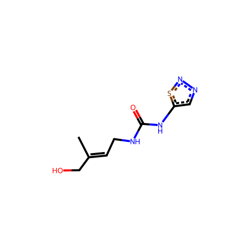 C/C(=C\CNC(=O)Nc1cnns1)CO